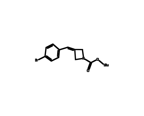 CC(C)(C)OC(=O)N1CC(=Cc2ccc(Br)cc2)C1